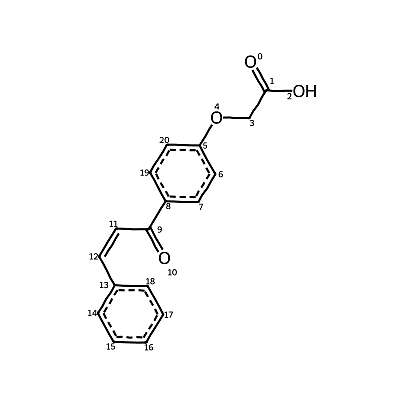 O=C(O)COc1ccc(C(=O)/C=C\c2ccccc2)cc1